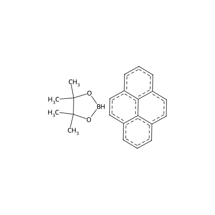 CC1(C)OBOC1(C)C.c1cc2ccc3cccc4ccc(c1)c2c34